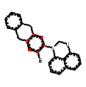 Brc1cc2c(cc1N1COc3cccc4cccc1c34)C1c3ccccc3C2c2ccccc21